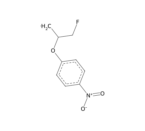 [CH2]C(CF)Oc1ccc([N+](=O)[O-])cc1